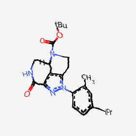 Cc1cc(C(C)C)ccc1-n1nc2c3c1CCN(C(=O)OC(C)(C)C)[C@H]3CNC2=O